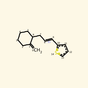 C=C1CCCCC1C/C=C/c1cccs1